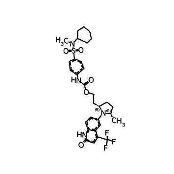 C[C@@H]1CC[C@H](CCOC(=O)Nc2ccc(S(=O)(=O)N(C)C3CCCCC3)cc2)N1c1ccc2[nH]c(=O)cc(C(F)(F)F)c2c1